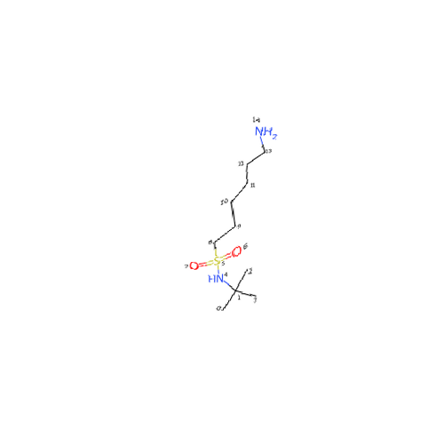 CC(C)(C)NS(=O)(=O)CCCCCCN